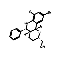 OC[C@@H]1CC[C@@H]2[C@@H](c3ccccc3)Nc3c(F)cc(Br)cc3[C@@H]2O1